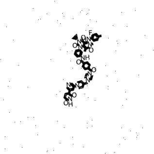 Cc1ccc(Nc2c3c(=O)n(C4CC4)c(=O)n(-c4cccc(NC(=O)C5CCC(C(=O)N6CCN(CC7CCN(c8cncc(C9CCC(=O)NC9=O)c8)CC7)CC6)CC5)c4)c3c(C)c(=O)n2C)c(F)c1